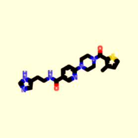 Cc1ccsc1C(=O)N1CCN(c2ccc(C(=O)NCCc3cnc[nH]3)cn2)CC1